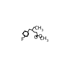 CCC(CCC(=O)OC)Cc1ccc(F)cc1